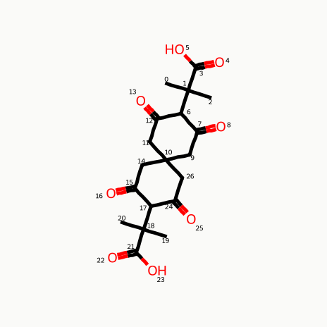 CC(C)(C(=O)O)C1C(=O)CC2(CC1=O)CC(=O)C(C(C)(C)C(=O)O)C(=O)C2